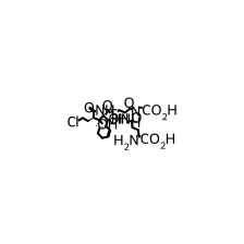 C[C@]1(O)[C@@H](CCCl)C(=O)N[C@]1(C(=O)SCC(NC(=O)CCC(N)C(=O)O)C(=O)NCC(=O)O)[C@@H](O)[C@@H]1C=CCCC1